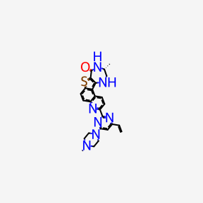 C=Cc1cc(N2CCN(C)CC2)nc(-c2ccc3c(ccc4sc5c(c43)NC[C@@H](C)NC5=O)n2)n1